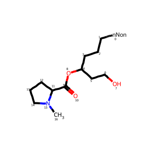 CCCCCCCCCCCCC(CCO)OC(=O)C1CCCN1C